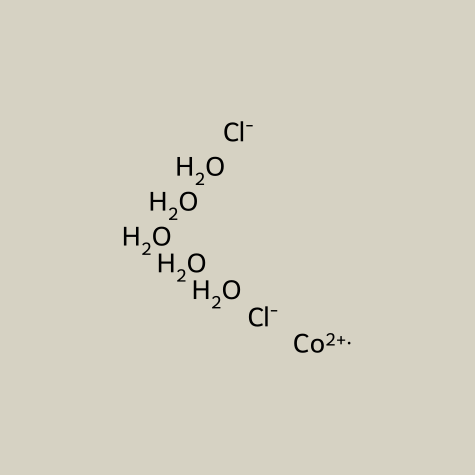 O.O.O.O.O.[Cl-].[Cl-].[Co+2]